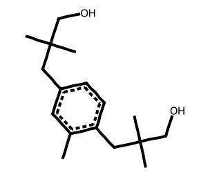 Cc1cc(CC(C)(C)CO)ccc1CC(C)(C)CO